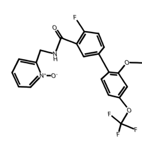 COc1cc(OC(F)(F)F)ccc1-c1ccc(F)c(C(=O)NCc2cccc[n+]2[O-])c1